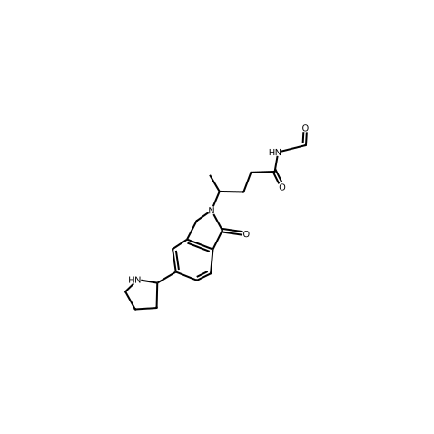 CC(CCC(=O)NC=O)N1Cc2cc(C3CCCN3)ccc2C1=O